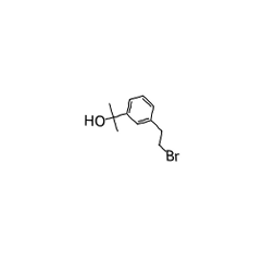 CC(C)(O)c1cccc(CCBr)c1